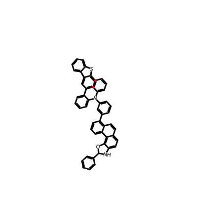 c1ccc(C2Nc3ccc4ccc5c(-c6cccc(N(c7ccccc7)c7ccccc7-c7ccc8sc9ccccc9c8c7)c6)cccc5c4c3O2)cc1